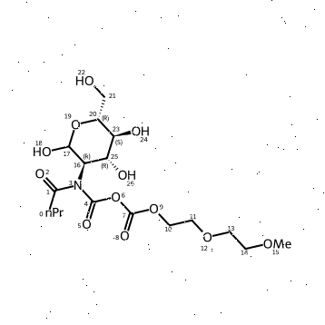 CCCC(=O)N(C(=O)OC(=O)OCCOCCOC)[C@H]1C(O)O[C@H](CO)[C@@H](O)[C@@H]1O